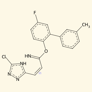 Cc1cccc(-c2cc(F)ccc2OC(=N)/C=C\c2nnc(Cl)[nH]2)c1